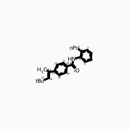 CCCc1ccccc1NC(=O)c1ccc(/C(C)=C/C(C)(C)C)cc1